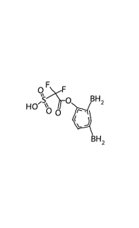 Bc1ccc(OC(=O)C(F)(F)S(=O)(=O)O)c(B)c1